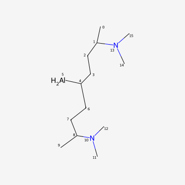 CC(CC[CH]([AlH2])CCC(C)N(C)C)N(C)C